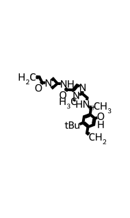 C=CC(=O)N1CC(NC(=O)c2cnc(CN[C@H](C)c3cc(C(C)(C)C)c(C=C)cc3O)n2C)C1